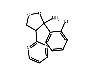 CCc1ccccc1C1(N)OOCC1c1ncccn1